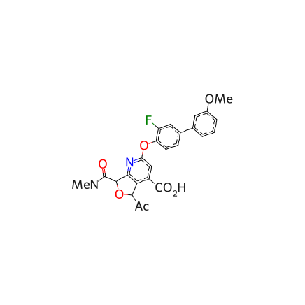 CNC(=O)C1OC(C(C)=O)c2c(C(=O)O)cc(Oc3ccc(-c4cccc(OC)c4)cc3F)nc21